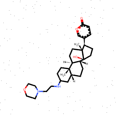 C[C@]12CCC(NCCN3CCOCC3)C[C@H]1CC[C@@H]1[C@@H]2CC[C@]2(C)[C@@H](c3ccc(=O)oc3)CC[C@]12O